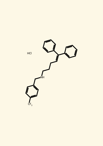 Cl.FC(F)(F)c1ccc(CNCCCC=C(c2ccccc2)c2ccccc2)cc1